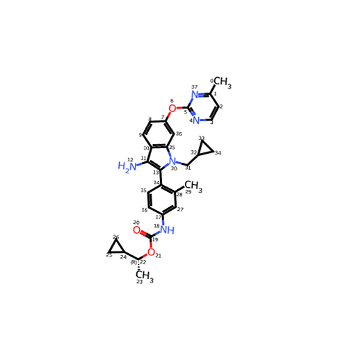 Cc1ccnc(Oc2ccc3c(N)c(-c4ccc(NC(=O)O[C@H](C)C5CC5)cc4C)n(CC4CC4)c3c2)n1